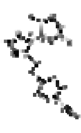 C#Cc1ccc(CSc2nnnn2-c2cc(C)ccc2C)cc1